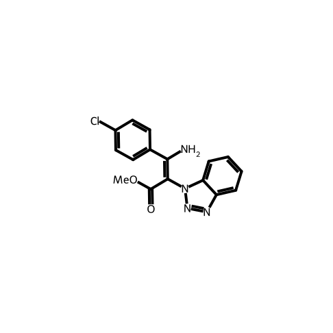 COC(=O)C(=C(N)c1ccc(Cl)cc1)n1nnc2ccccc21